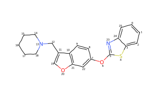 c1ccc2sc(Oc3ccc4c(CN5CCCCC5)coc4c3)nc2c1